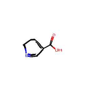 O=C(O)C1=CCN=C1